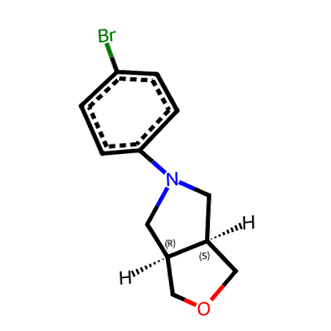 Brc1ccc(N2C[C@H]3COC[C@H]3C2)cc1